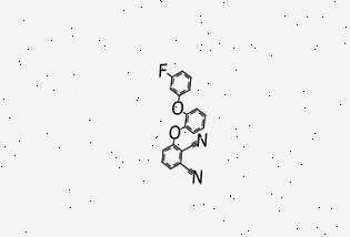 N#Cc1cccc(Oc2ccccc2Oc2cccc(F)c2)c1C#N